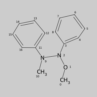 CON(c1ccccc1)N(C)c1ccccc1